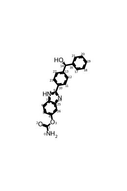 NC(=O)Oc1ccc2[nH]c(-c3ccc(C(O)c4ccccc4)cc3)nc2c1